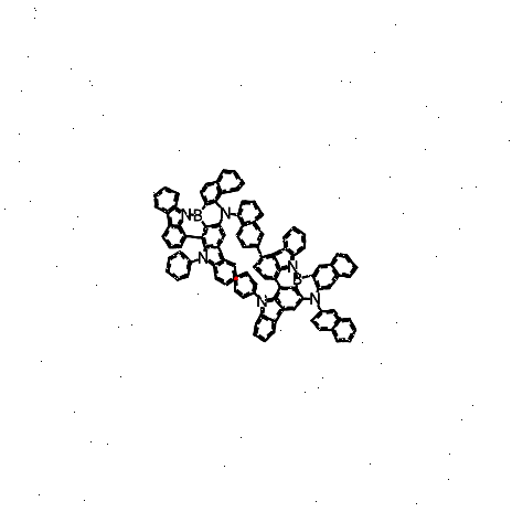 c1ccc(-n2c3ccccc3c3cc4c5c(c32)-c2cccc3c6ccccc6n(c23)B5c2ccc3ccccc3c2N4c2cccc3cc(-c4ccc5c6c4c4ccccc4n6B4c6cc7ccccc7cc6N(c6ccc7ccccc7c6)c6cc7c8ccccc8n(-c8ccccc8)c7c-5c64)ccc23)cc1